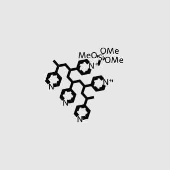 CO[Si](C[n+]1ccc(C(CC(C)c2ccncc2)CC(CC(CC(C)c2ccncc2)c2cc[n+](C)cc2)c2ccncc2)cc1)(OC)OC